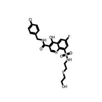 O=C(NCc1ccc(Cl)cc1)c1cnc2c(S(=O)(=O)NCCSCCO)cc(F)cc2c1O